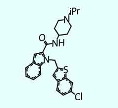 CC(C)N1CCC(NC(=O)c2cc3ccccc3n2Cc2cc3ccc(Cl)cc3s2)CC1